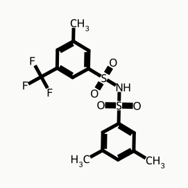 Cc1cc(C)cc(S(=O)(=O)NS(=O)(=O)c2cc(C)cc(C(F)(F)F)c2)c1